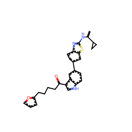 C=C(Nc1nc2ccc(-c3ccc4[nH]cc(C(=O)CCCCc5ccco5)c4c3)cc2s1)C1CC1